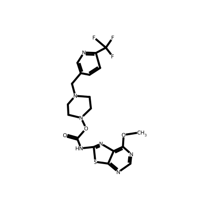 COc1ncnc2sc(NC(=O)ON3CCN(Cc4ccc(C(F)(F)F)nc4)CC3)nc12